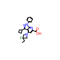 CCC1(F)CN(c2cc(C(=O)O)nc3c2c(C2CCC2)nn3-c2ccccc2)C1